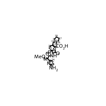 CO/N=C(\C(=O)NC1C(=O)N2C(C(=O)O)=C(C[N+]3(C)CCCC3)CS[C@H]12)c1csc(N)n1